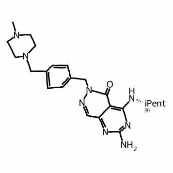 CCC[C@@H](C)Nc1nc(N)nc2cnn(Cc3ccc(CN4CCN(C)CC4)cc3)c(=O)c12